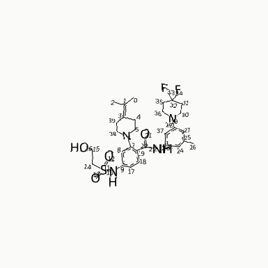 CC(C)=C1CCN(c2cc(NS(=O)(=O)CCO)ccc2C(=O)Nc2cc(C)cc(N3CCC(F)(F)CC3)c2)CC1